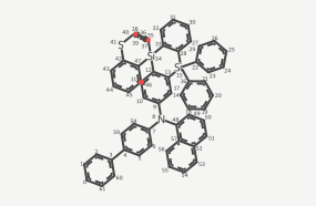 c1ccc(-c2ccc(N(c3ccc4c(c3)[Si](c3ccccc3)(c3ccccc3)c3ccccc3[Si]43c4ccccc4Sc4ccccc43)c3cccc4ccccc34)cc2)cc1